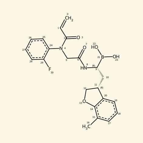 C=CC(=O)N(CC(=O)N[C@@H](C[C@H]1COc2c(C)cccc21)B(O)O)c1ccccc1F